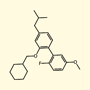 COc1ccc(F)c(-c2ccc(CC(C)C)cc2OCC2CCCCC2)c1